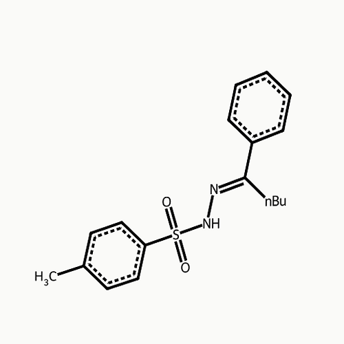 CCCC/C(=N\NS(=O)(=O)c1ccc(C)cc1)c1ccccc1